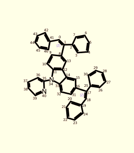 C(=C(\c1ccccc1)c1ccc2c(c1)c1cc(/C(=C\c3ccccc3)c3ccccc3)ccc1n2-c1ccccn1)/c1ccccc1